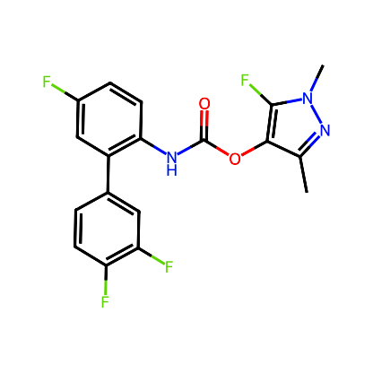 Cc1nn(C)c(F)c1OC(=O)Nc1ccc(F)cc1-c1ccc(F)c(F)c1